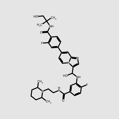 CC1CCCC(C)N1CCNC(=O)c1ccc(F)c(NC(O)c2cnc3cc(-c4ccc(C(=O)NC(C)(C)CO)c(F)c4)ccn23)c1